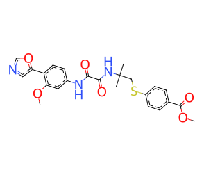 COC(=O)c1ccc(SCC(C)(C)NC(=O)C(=O)Nc2ccc(-c3cnco3)c(OC)c2)cc1